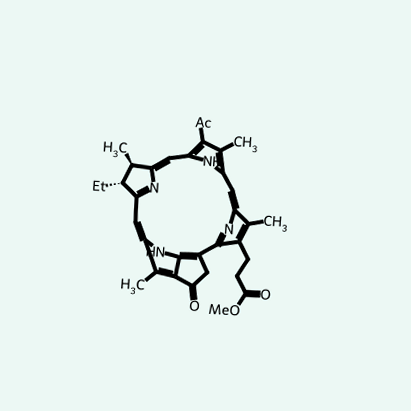 CC[C@H]1c2cc3[nH]c4c(c5nc(cc6[nH]c(cc(n2)[C@@H]1C)c(C(C)=O)c6C)C(C)=C5CCC(=O)OC)CC(=O)c4c3C